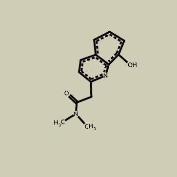 CN(C)C(=O)Cc1ccc2cccc(O)c2n1